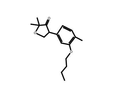 CCCCOc1cc(C2COC(C)(C)C2=O)ccc1C